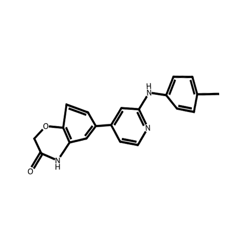 Cc1ccc(Nc2cc(-c3ccc4c(c3)NC(=O)CO4)ccn2)cc1